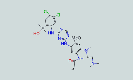 C=CC(=O)Nc1cc(Nc2ncnc(Nc3cc(Cl)c(Cl)cc3C(C)(C)O)n2)c(OC)cc1N(C)CCN(C)C